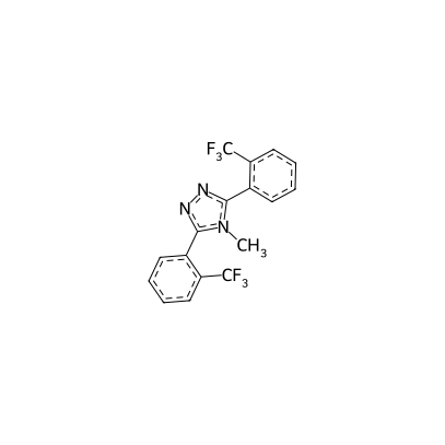 Cn1c(-c2ccccc2C(F)(F)F)nnc1-c1ccccc1C(F)(F)F